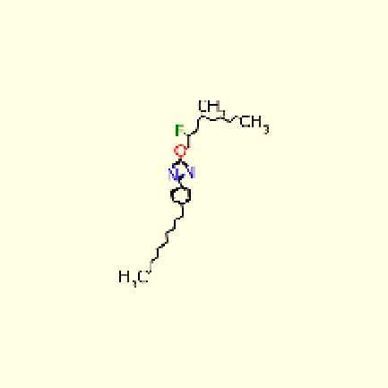 CCCCCCCCCCc1ccc(-c2ncc(OCC(F)CCC(C)CCCCC)cn2)cc1